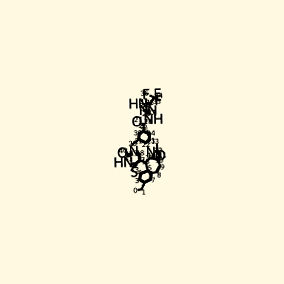 CCc1ccc2c(c1)C=Cc1oc(C)nc1C2c1cn(Cc2cccc(C(=O)Nc3n[nH]c(C(F)(F)F)n3)c2)c(=O)[nH]c1=S